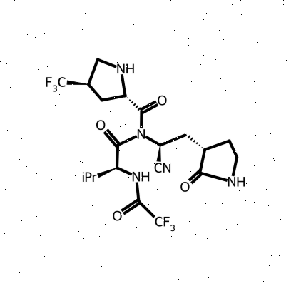 CC(C)[C@H](NC(=O)C(F)(F)F)C(=O)N(C(=O)[C@@H]1C[C@@H](C(F)(F)F)CN1)[C@H](C#N)C[C@@H]1CCNC1=O